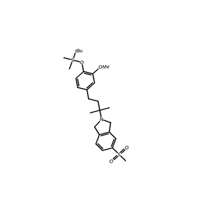 COc1cc(CCC(C)(C)N2Cc3ccc(S(C)(=O)=O)cc3C2)ccc1O[Si](C)(C)C(C)(C)C